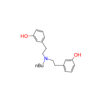 CCCCN(CCc1cccc(O)c1)CCc1cccc(O)c1